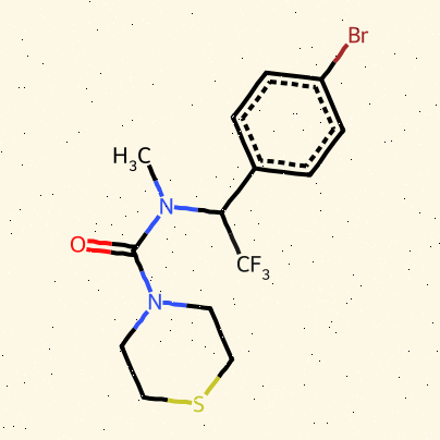 CN(C(=O)N1CCSCC1)C(c1ccc(Br)cc1)C(F)(F)F